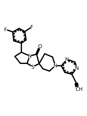 C#Cc1cc(N2CCC3(CC2)SC2CCC(c4cc(F)cc(F)c4)N2C3=O)ncn1